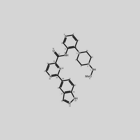 COBN1CCN(c2ccncc2NC(=O)c2ccnc(-c3ccc4[nH]ncc4c3)n2)CC1